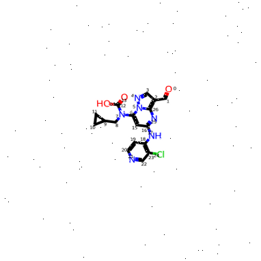 O=Cc1cnn2c(N(CC3CC3)C(=O)O)cc(Nc3ccncc3Cl)nc12